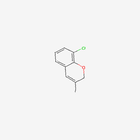 CC1=Cc2cccc(Cl)c2OC1